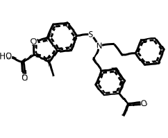 CC(=O)c1ccc(CN(CCc2ccccc2)Sc2ccc3oc(C(=O)O)c(C)c3c2)cc1